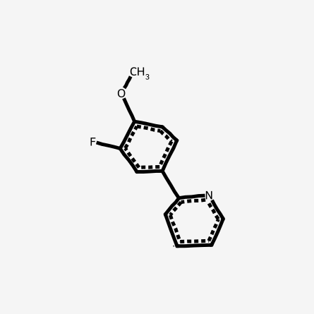 COc1ccc(-c2c[c]ccn2)cc1F